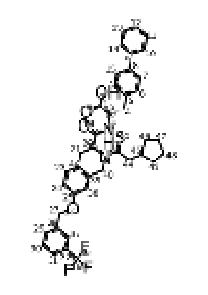 O=C(O)[C@H](Cc1ccc(-c2ccccc2)cc1)NC(=O)[C@@H]1Cc2ccc(OCc3cccc(C(F)(F)F)c3)cc2CN1C(=S)CC1CCCC1